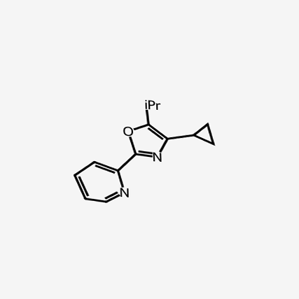 CC(C)c1oc(-c2ccccn2)nc1C1CC1